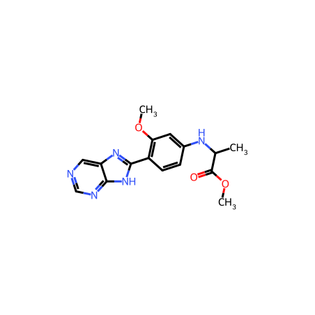 COC(=O)C(C)Nc1ccc(-c2nc3cncnc3[nH]2)c(OC)c1